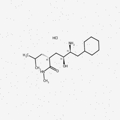 CNC(=O)[C@H](CC(C)C)C[C@H](O)[C@@H](N)CC1CCCCC1.Cl